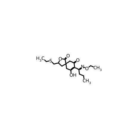 CCCC(=NOCC)C1=C(O)CC2(CC1=O)CC(CSCC)OC2=O